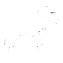 Cc1cc(NS(=O)(=O)c2cccc(Cl)c2)c2c(C)c(-c3nccc4ccccc34)sc2n1